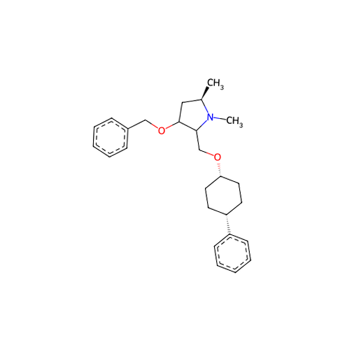 C[C@@H]1CC(OCc2ccccc2)C(CO[C@H]2CC[C@@H](c3ccccc3)CC2)N1C